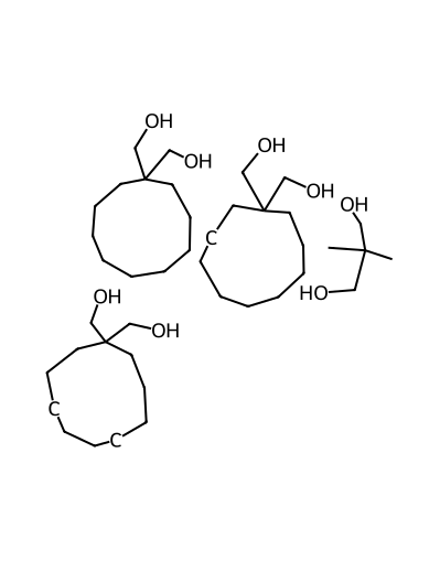 CC(C)(CO)CO.OCC1(CO)CCCCCCCCC1.OCC1(CO)CCCCCCCCC1.OCC1(CO)CCCCCCCCC1